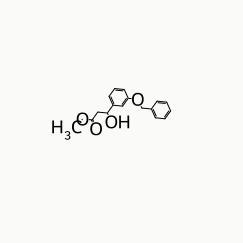 COC(=O)CC(O)c1cccc(OCc2ccccc2)c1